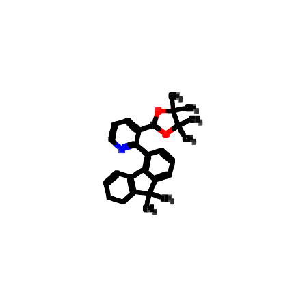 CC1(C)C2=C(C=CCC2)c2c(-c3ncccc3B3OC(C)(C)C(C)(C)O3)cccc21